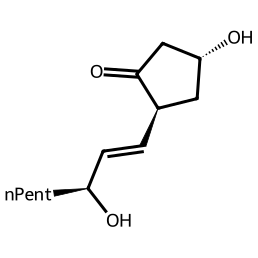 CCCCC[C@H](O)/C=C/[C@@H]1C[C@@H](O)CC1=O